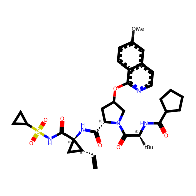 C=C[C@@H]1C[C@]1(NC(=O)[C@@H]1CC(Oc2nccc3cc(OC)ccc23)CN1C(=O)[C@@H](NC(=O)C1CCCC1)C(C)(C)C)C(=O)NS(=O)(=O)C1CC1